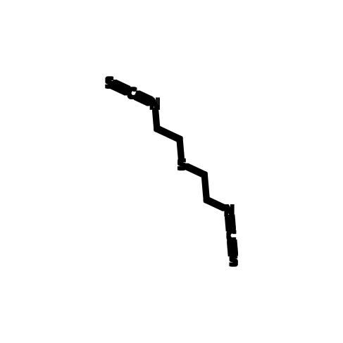 S=C=NCCSCCN=C=S